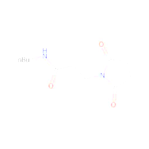 CCCCNC(=O)CCN1C(=O)CCC1=O